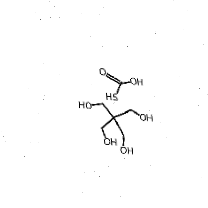 O=C(O)S.OCC(CO)(CO)CO